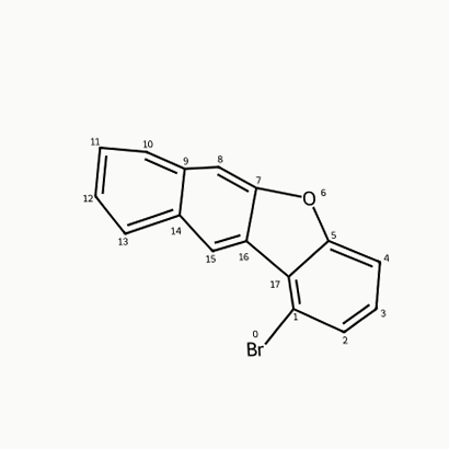 Brc1cccc2oc3cc4ccccc4cc3c12